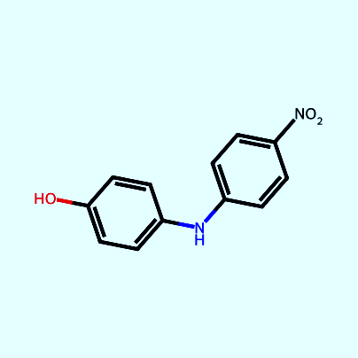 O=[N+]([O-])c1ccc(Nc2ccc(O)cc2)cc1